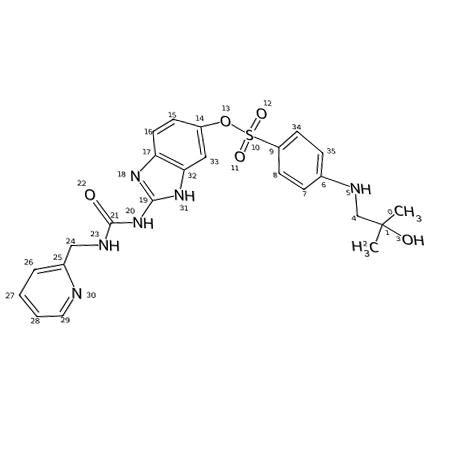 CC(C)(O)CNc1ccc(S(=O)(=O)Oc2ccc3nc(NC(=O)NCc4ccccn4)[nH]c3c2)cc1